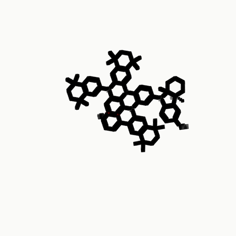 CC(C)(C)c1cc2c3c(c1)N(c1cc4c(cc1-c1ccccc1)C(C)(C)CCC4(C)C)c1cc(N4c5ccc(C(C)(C)C)cc5[C@]5(C)CCCCC45C)ccc1B3c1cc3c(cc1N2c1ccc2c(c1)C(C)(C)CCC2(C)C)C(C)(C)CCC3(C)C